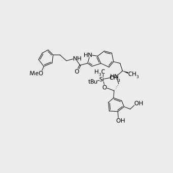 COc1cccc(CCNC(=O)c2cc3cc(C[C@@H](C)NC[C@@H](O[Si](C)(C)C(C)(C)C)c4ccc(O)c(CO)c4)ccc3[nH]2)c1